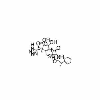 CC(C(=O)NC1C(=O)N2C(C(=O)O)=C(C(C)(CC(=O)O)Sc3nnn[nH]3)CS[C@@H]12)C1=CCC=CC1